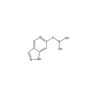 OB(O)Oc1cc2[nH]ncc2cn1